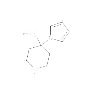 O=C(O)C1(n2cccc2)CCOCC1